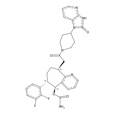 NC(=O)O[C@@H]1c2cccnc2[C@H](CC(=O)N2CCC(n3c(=O)[nH]c4ncccc43)CC2)CC[C@H]1c1cccc(F)c1F